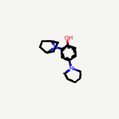 Oc1ccc(N2CCCCC2)cc1N1C2CCC1CC2